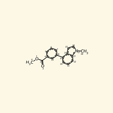 COC(=O)c1cccc(-c2cccc3c2ccn3C)c1